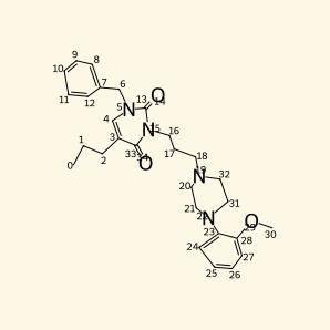 CCCc1cn(Cc2ccccc2)c(=O)n(CCCN2CCN(c3ccccc3OC)CC2)c1=O